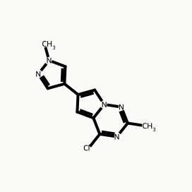 Cc1nc(Cl)c2cc(-c3cnn(C)c3)cn2n1